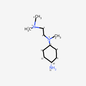 CN(C)CCN(C)[C@H]1CC[C@H](N)CC1